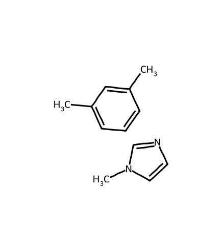 Cc1cccc(C)c1.Cn1ccnc1